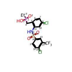 CCP(=O)(O)Cc1ccc(Cl)cc1NS(=O)(=O)c1ccc(Cl)c(C(F)(F)F)c1